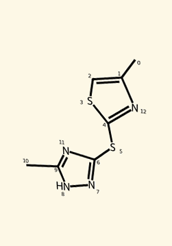 Cc1csc(Sc2n[nH]c(C)n2)n1